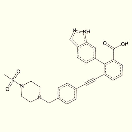 CS(=O)(=O)N1CCN(Cc2ccc(C#Cc3cccc(C(=O)O)c3-c3ccc4cn[nH]c4c3)cc2)CC1